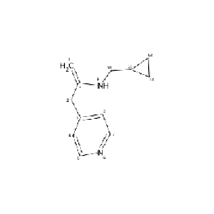 C=C(Cc1ccncc1)NCC1CC1